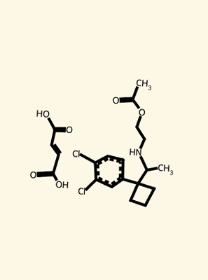 CC(=O)OCCNC(C)C1(c2ccc(Cl)c(Cl)c2)CCC1.O=C(O)C=CC(=O)O